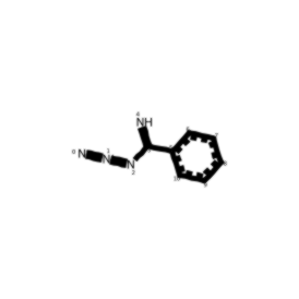 [N-]=[N+]=NC(=N)c1ccccc1